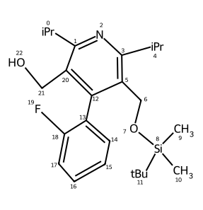 CC(C)c1nc(C(C)C)c(CO[Si](C)(C)C(C)(C)C)c(-c2ccccc2F)c1CO